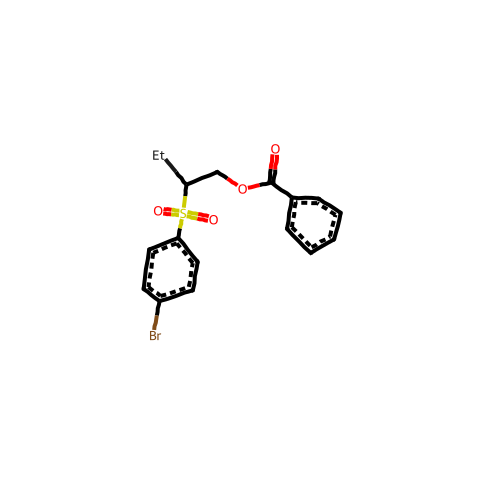 CCC(COC(=O)c1ccccc1)S(=O)(=O)c1ccc(Br)cc1